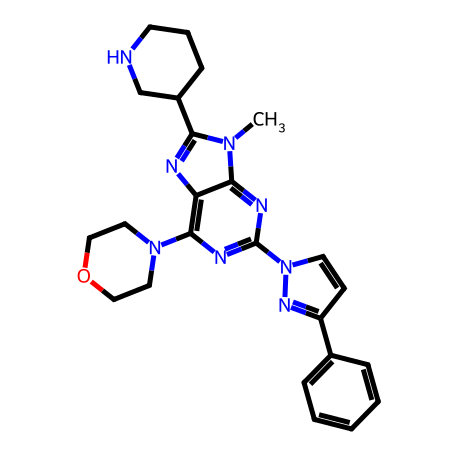 Cn1c(C2CCCNC2)nc2c(N3CCOCC3)nc(-n3ccc(-c4ccccc4)n3)nc21